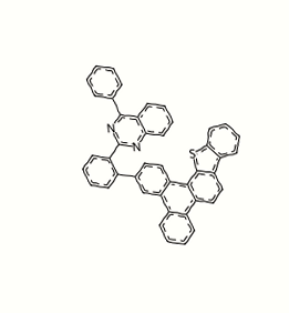 c1ccc(-c2nc(-c3ccccc3-c3ccc4c(c3)c3ccccc3c3ccc5c6ccccc6sc5c34)nc3ccccc23)cc1